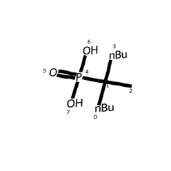 CCCCC(C)(CCCC)P(=O)(O)O